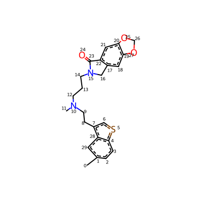 Cc1ccc2scc(CCN(C)CCCN3Cc4cc5c(cc4C3=O)OCO5)c2c1